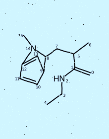 C=C(NCC)C(C)CC1C2C=CC(=C2)N1C